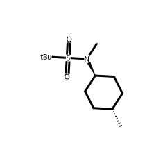 CN([C@H]1CC[C@H](C)CC1)S(=O)(=O)C(C)(C)C